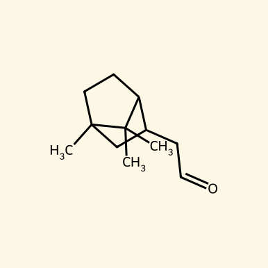 CC12CCC(C(CC=O)C1)C2(C)C